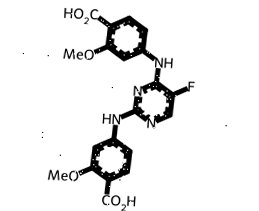 COc1cc(Nc2ncc(F)c(Nc3ccc(C(=O)O)c(OC)c3)n2)ccc1C(=O)O